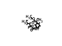 C=C(C(=O)OCC)c1cccc(NC(=O)OC(F)CCC)c1